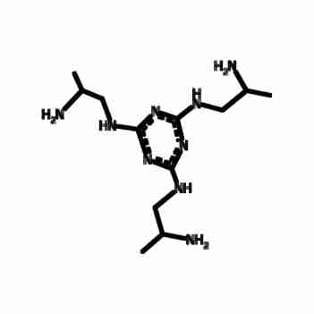 CC(N)CNc1nc(NCC(C)N)nc(NCC(C)N)n1